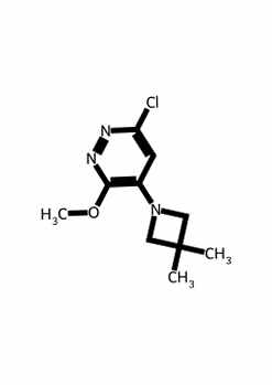 COc1nnc(Cl)cc1N1CC(C)(C)C1